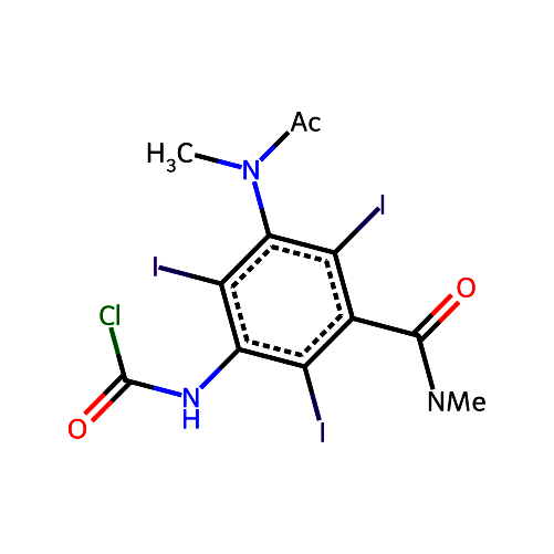 CNC(=O)c1c(I)c(NC(=O)Cl)c(I)c(N(C)C(C)=O)c1I